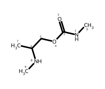 CNC(=O)OCC(C)NC